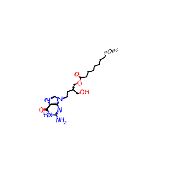 CCCCCCCCCCCCCCCCCC(=O)OCC(CO)CCn1cnc2c(=O)[nH]c(N)nc21